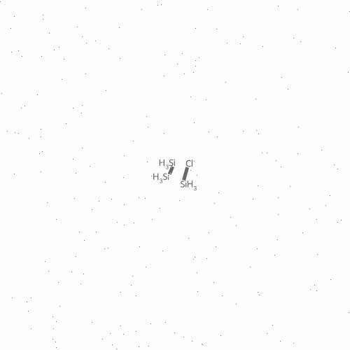 [SiH3]Cl.[SiH3][SiH3]